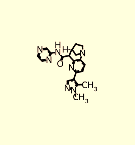 Cc1c(-c2ccc3c(n2)C(C(=O)Nc2cnccn2)[C@H]2CCN3C2)cnn1C